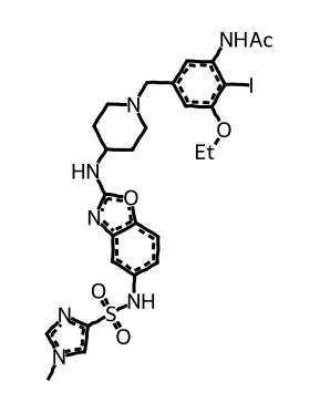 CCOc1cc(CN2CCC(Nc3nc4cc(NS(=O)(=O)c5cn(C)cn5)ccc4o3)CC2)cc(NC(C)=O)c1I